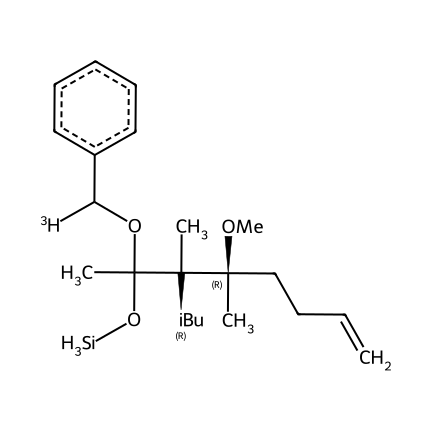 [3H]C(OC(C)(O[SiH3])C(C)([C@H](C)CC)[C@@](C)(CCC=C)OC)c1ccccc1